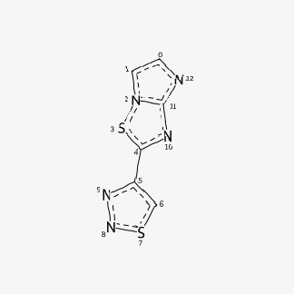 c1cn2sc(-c3csnn3)nc2n1